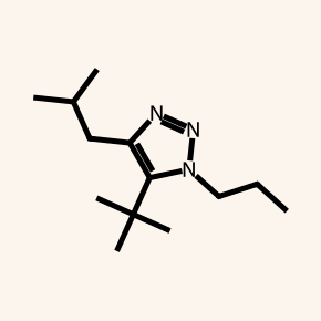 CCCn1nnc(CC(C)C)c1C(C)(C)C